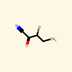 CCC(Br)C(=O)C#N